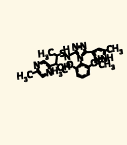 COc1cccc(OC)c1-n1c(NSC(C)C(O)c2cnc(C)cn2)nnc1-c1cc(C)[nH]n1